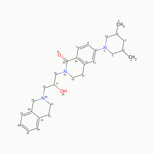 CC1CC(C)CN(c2ccc3c(c2)CCN(CC(O)CN2CCc4ccccc4C2)C3=O)C1